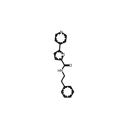 O=C(NCCc1ccccc1)c1ccc(-c2ccncc2)s1